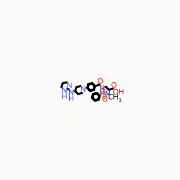 CN(C(CNC(=O)c1ccc(N2CCC(NC3=NCCCN3)CC2)cc1)C(=O)O)S(=O)(=O)c1ccccc1